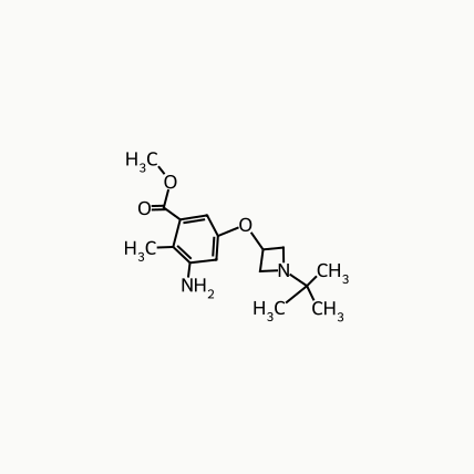 COC(=O)c1cc(OC2CN(C(C)(C)C)C2)cc(N)c1C